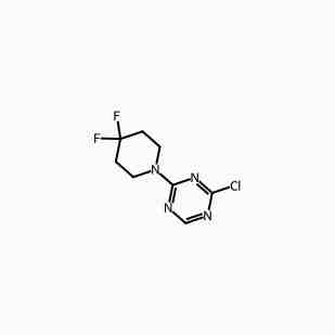 FC1(F)CCN(c2ncnc(Cl)n2)CC1